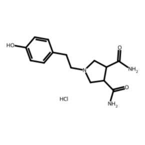 Cl.NC(=O)C1CN(CCc2ccc(O)cc2)CC1C(N)=O